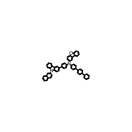 c1ccc(-c2ccc(-c3ccc(N(c4ccc(-c5ccc6c(c5)c5ccccc5n6-c5ccc6ccccc6c5)cc4)c4ccc5oc6ccccc6c5c4)cc3)cc2)cc1